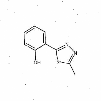 Cc1nnc(-c2ccccc2O)s1